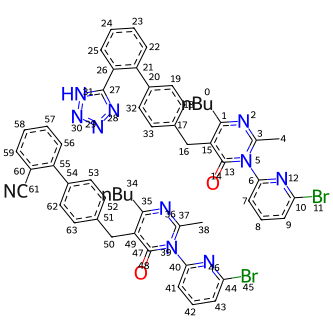 CCCCc1nc(C)n(-c2cccc(Br)n2)c(=O)c1Cc1ccc(-c2ccccc2-c2nnn[nH]2)cc1.CCCCc1nc(C)n(-c2cccc(Br)n2)c(=O)c1Cc1ccc(-c2ccccc2C#N)cc1